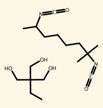 CC(CCCCC(C)(C)N=C=O)N=C=O.CCC(CO)(CO)CO